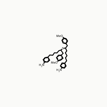 COc1ccc(CC(CCCCCc2ccc(N)cc2)SC(CCCCCc2ccc(N)cc2)Cc2ccc(OC)cc2)cc1